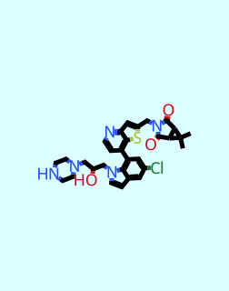 CC1(C)C2C(=O)N(Cc3cc4nccc(-c5cc(Cl)cc6ccn(CC(O)CN7CCNCC7)c56)c4s3)C(=O)C21